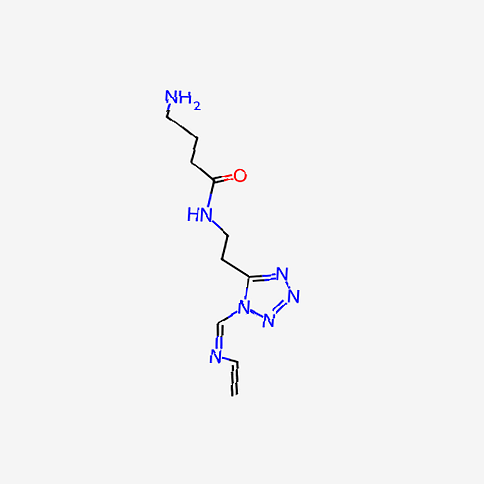 C=C/N=C\n1nnnc1CCNC(=O)CCCN